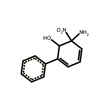 NC1([N+](=O)[O-])C=CC=C(c2ccccc2)C1O